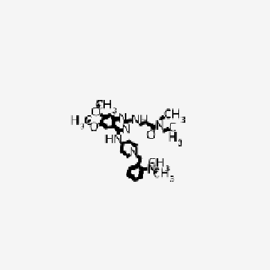 CCN(CC)C(=O)CCNc1nc(NC2CCN(Cc3ccccc3N(C)C)CC2)c2cc(OC)c(OC)cc2n1